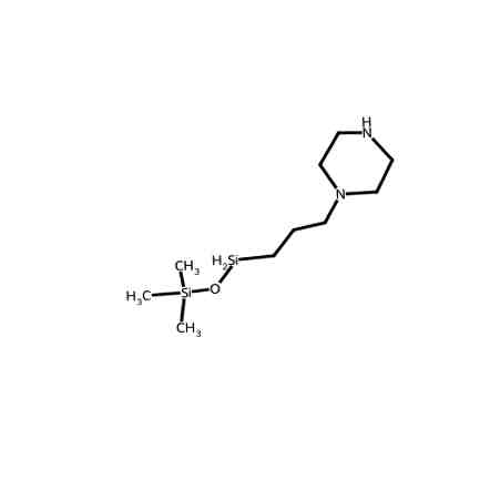 C[Si](C)(C)O[SiH2]CCCN1CCNCC1